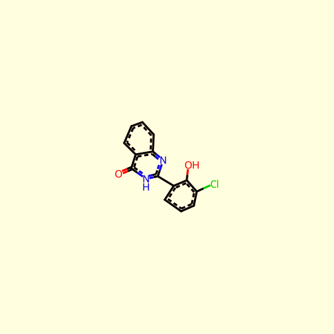 O=c1[nH]c(-c2cccc(Cl)c2O)nc2ccccc12